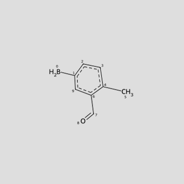 Bc1ccc(C)c(C=O)c1